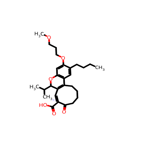 CCCCc1cc2c(cc1OCCCOC)OC(C(C)C)C1=C2CCCCC(=O)/C(C(=O)O)=C\1